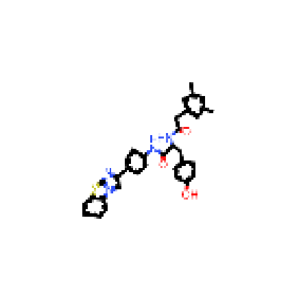 Cc1cc(C)cc(CC(=O)NC(Cc2ccc(O)cc2)C(=O)Nc2ccc(-c3cn4c(n3)sc3ccccc34)cc2)c1